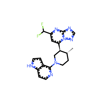 C[C@@H]1CCN(c2nccc3[nH]ccc23)C[C@H]1c1cc(C(F)F)nc2ncnn12